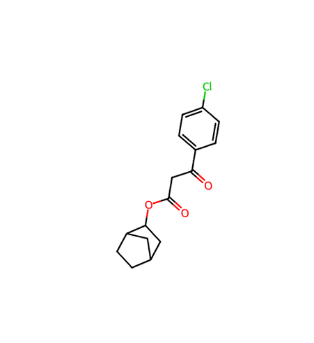 O=C(CC(=O)c1ccc(Cl)cc1)OC1CC2CCC1C2